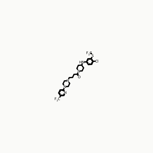 O=C(CCCN1CCN(c2ccc(C(F)(F)F)cn2)CC1)N1CCC(Nc2ccc(Cl)c(SC(F)(F)F)c2)CC1